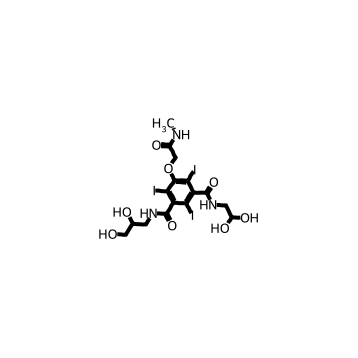 CNC(=O)COc1c(I)c(C(=O)NCC(O)O)c(I)c(C(=O)NCC(O)CO)c1I